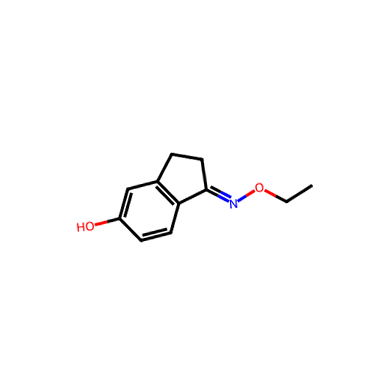 CCO/N=C1\CCc2cc(O)ccc21